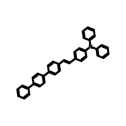 C(=C\c1ccc(N(c2ccccc2)c2ccccc2)cc1)/c1ccc(-c2ccc(-c3ccccc3)cc2)cc1